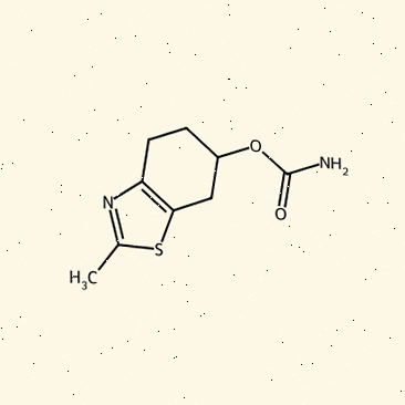 Cc1nc2c(s1)CC(OC(N)=O)CC2